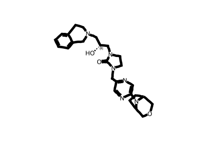 O=C1N(Cc2cnc(N3C4CCC3COC4)cn2)CCN1C[C@H](O)CN1CCc2ccccc2C1